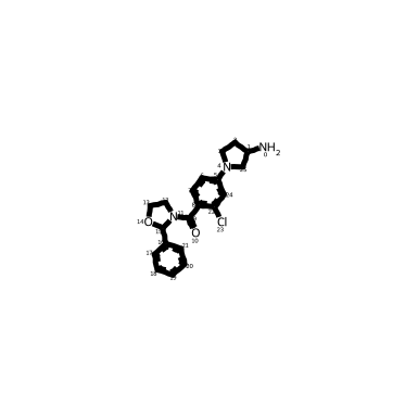 NC1CCN(c2ccc(C(=O)N3CCOC3c3ccccc3)c(Cl)c2)C1